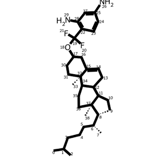 CC(C)CCC[C@@H](C)[C@H]1CCC2C3CC=C4CC(OC(F)(F)c5ccc(N)cc5N)CC[C@]4(C)C3CC[C@@]21C